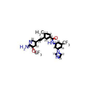 Cc1ccc(C(=O)Nc2cc(-n3ccnc3)cc(C(F)(F)F)c2)cc1C#Cc1cnc(N)c(OC(F)(F)F)c1